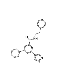 O=C(NCCc1ccccc1)c1cc(-c2ccccc2)cc(-n2cnnn2)c1